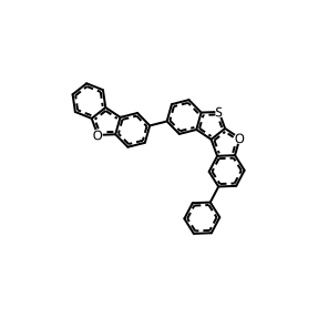 c1ccc(-c2ccc3oc4sc5ccc(-c6ccc7oc8ccccc8c7c6)cc5c4c3c2)cc1